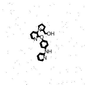 OCC1CCCN1c1cccnc1Oc1ccc(Nc2ccccn2)cc1